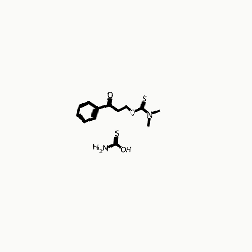 CN(C)C(=S)OCCC(=O)c1ccccc1.NC(O)=S